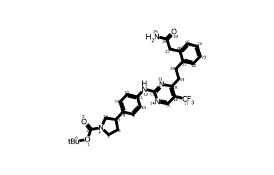 CC(C)(C)OC(=O)N1CCC(c2ccc(Nc3ncc(C(F)(F)F)c(CCc4ccccc4CC(N)=O)n3)cc2)C1